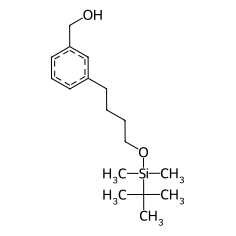 CC(C)(C)[Si](C)(C)OCCCCc1cccc(CO)c1